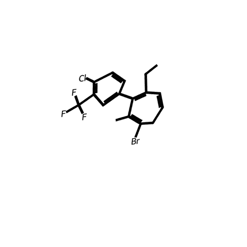 CCC1=C(c2ccc(Cl)c(C(F)(F)F)c2)C(C)=C(Br)CC=C1